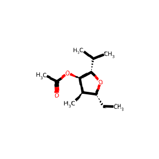 CC[C@H]1O[C@@H](C(C)C)[C@H](OC(C)=O)[C@@H]1C